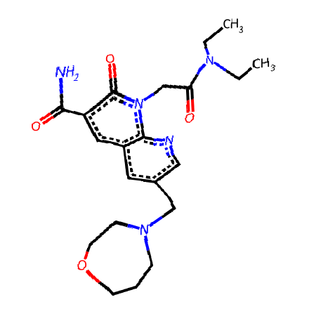 CCN(CC)C(=O)Cn1c(=O)c(C(N)=O)cc2cc(CN3CCCOCC3)cnc21